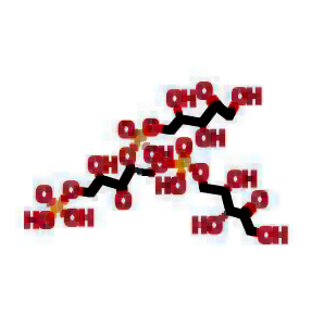 O=C([C@H](O)COP(=O)(O)O)[C@@H](COP(=O)(O)OC[C@@H](O)[C@@H](O)C(=O)CO)OP(=O)(O)OC[C@@H](O)[C@@H](O)C(=O)CO